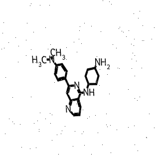 CN(C)c1ccc(-c2cc3ncccc3c(NC3CCC(N)CC3)n2)cc1